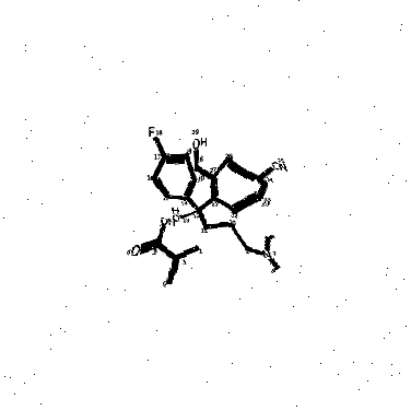 CC(C)C(=O)O.CN(C)CCC[C@](O)(c1ccc(F)cc1)c1ccc(C#N)cc1CO